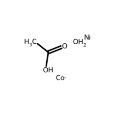 CC(=O)O.O.[Co].[Ni]